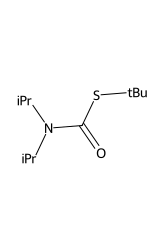 CC(C)N(C(=O)SC(C)(C)C)C(C)C